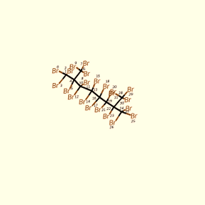 BrC(Br)(Br)C(Br)(C(Br)(Br)Br)C(Br)(Br)C(Br)(Br)C(Br)(Br)C(Br)(Br)C(Br)(C(Br)(Br)Br)C(Br)(Br)Br